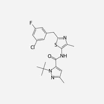 Cc1cc(C(=O)Nc2sc(Cc3cc(F)cc(Cl)c3)nc2C)n(C(C)(C)C)n1